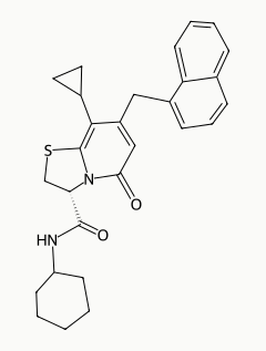 O=C(NC1CCCCC1)[C@@H]1CSc2c(C3CC3)c(Cc3cccc4ccccc34)cc(=O)n21